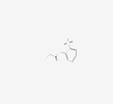 CS(=O)(=O)c1ccccc1OC(=O)CN